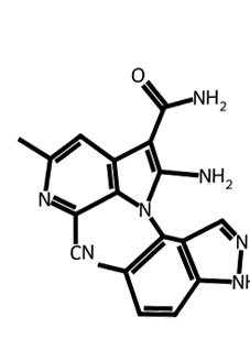 Cc1cc2c(C(N)=O)c(N)n(-c3c(C)ccc4[nH]ncc34)c2c(C#N)n1